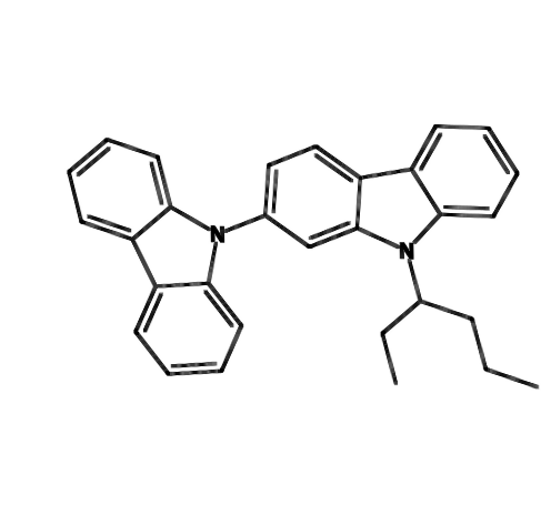 CCCC(CC)n1c2ccccc2c2ccc(-n3c4ccccc4c4ccccc43)cc21